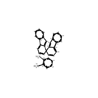 C1=CC2(C=CC=C3C2=Cc2ccccc23)C2=Cc3ccccc3C2=C1.Nc1ccccc1N